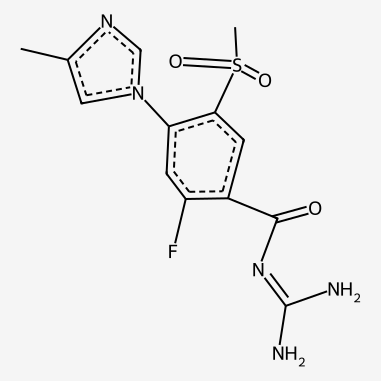 Cc1cn(-c2cc(F)c(C(=O)N=C(N)N)cc2S(C)(=O)=O)cn1